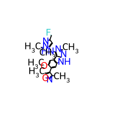 COc1cc2c(cc1-c1c(C)noc1C)[nH]c1nc(C)nc(Nc3cc(CF)nn3C(C)C)c12